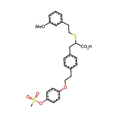 COc1cccc(CCSC(Cc2ccc(CCOc3ccc(OS(C)(=O)=O)cc3)cc2)C(=O)O)c1